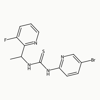 CC(NC(=S)Nc1ccc(Br)cn1)c1ncccc1F